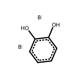 Oc1ccccc1O.[B].[B]